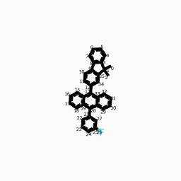 CC1(C)c2ccccc2-c2ccc(-c3c4ccccc4c(-c4cccc(F)c4)c4ccccc34)cc21